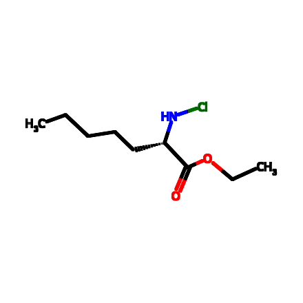 CCCCC[C@H](NCl)C(=O)OCC